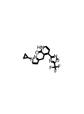 O=c1[nH]ccc(-c2noc(C(F)(F)F)n2)c1Cc1ccn(C2CC2)n1